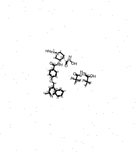 CCCCCCN1CC[C@H](C(=O)NO)[C@H](NC(=O)c2ccc(OCc3cc(C)nc4ccccc34)cc2)C1.O=C(O)C(F)(F)F.O=C(O)C(F)(F)F